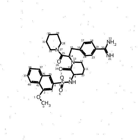 COc1cc(S(=O)(=O)NC2CCCN(C(Cc3ccc(C(=N)N)cc3)C(=O)N3CCCCC3)C2=O)cc2ccccc12